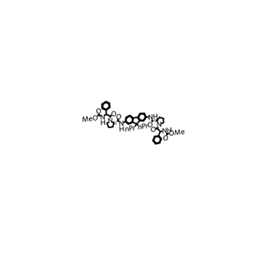 CCCC1(CCC)c2cc(NC(=O)[C@@H]3CCCN3C(=O)C(NC(=O)OC)c3ccccc3)ccc2-c2ccc(NC(=O)[C@@H]3CCCN3C(=O)C(NC(=O)OC)c3ccccc3)cc21